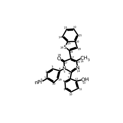 CCCc1ccc(-n2c(-c3ccccc3O)nc(C)c(-c3cc4ccccc4s3)c2=O)cc1